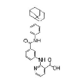 O=C(Nc1ccc(C23CC4CC(CC(C4)C2)C3)cc1)c1cccc(Nc2ncccc2C(=O)O)c1